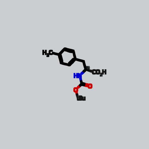 Cc1ccc(C[C@H](NC(=O)OC(C)(C)C)C(=O)O)cc1